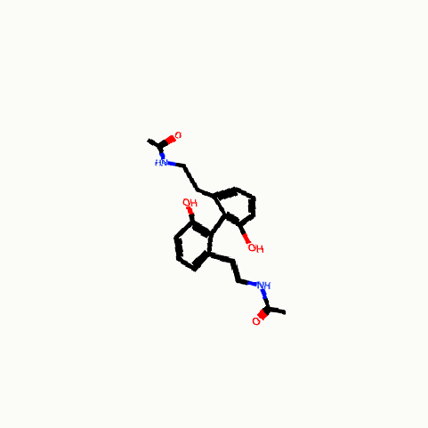 CC(=O)NCCc1cccc(O)c1-c1c(O)cccc1CCNC(C)=O